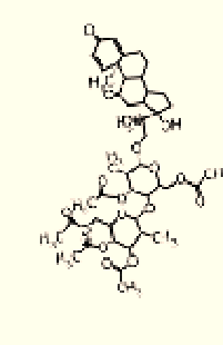 CC(=O)OCC1O[C@@H](O[C@@H]2C(COC(C)=O)O[C@@H](OCC(=O)[C@@]3(O)CCC4C5CCC6=CC(=O)C=C[C@]6(C)C5C(=O)C[C@@]43C)C(C)[C@H]2OC(C)=O)C(C)[C@@H](OC(C)=O)[C@@H]1OC(C)=O